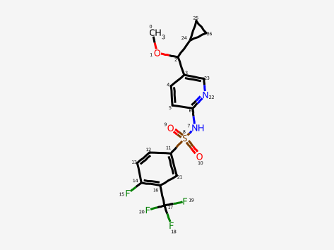 COC(c1ccc(NS(=O)(=O)c2ccc(F)c(C(F)(F)F)c2)nc1)C1CC1